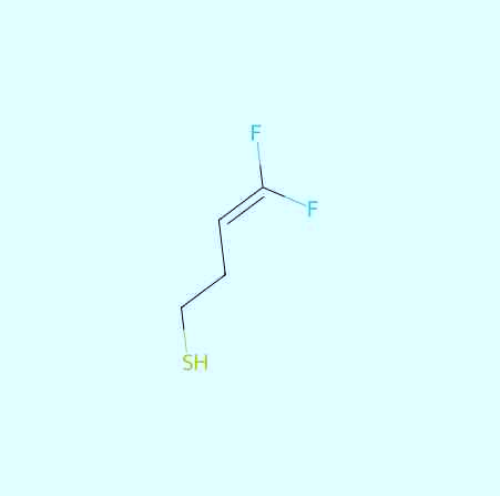 FC(F)=CCCS